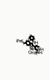 CC(C)SCC1CC(=O)c2c(Nc3ccccc3)c(C3=CC(NC=O)NC=C3)n(N)c2C1